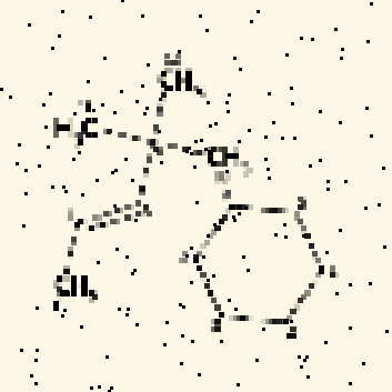 C1CCCCC1.CC=CC(C)(C)C